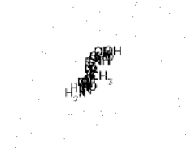 CC(=O)N(Cc1cnc2[nH]c(N)nc(=O)c2n1)c1ccc(C(=O)N[C@@H](CCC(=O)O)C(=O)O)c(F)n1